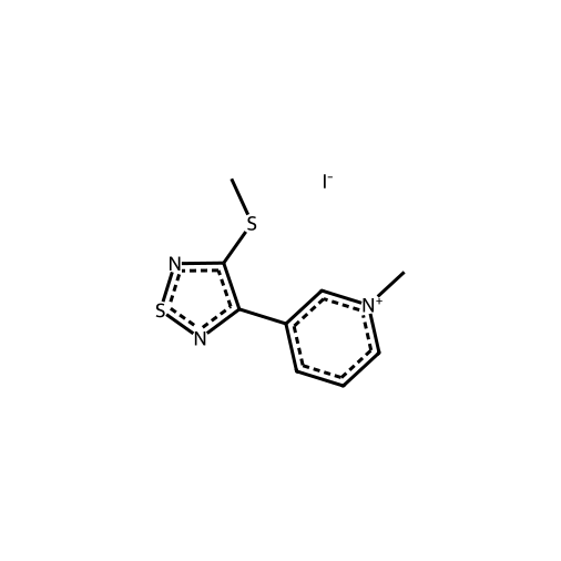 CSc1nsnc1-c1ccc[n+](C)c1.[I-]